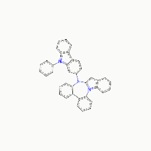 c1ccc(-n2c3ccccc3c3ccc(N4c5ccccc5-c5ccccc5-n5c4cc4ccccc45)cc32)cc1